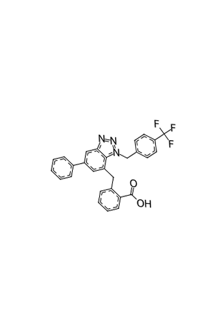 O=C(O)c1ccccc1Cc1cc(-c2ccccc2)cc2nnn(Cc3ccc(C(F)(F)F)cc3)c12